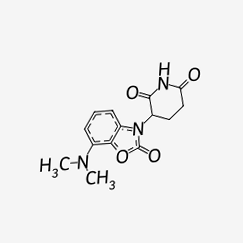 CN(C)c1cccc2c1oc(=O)n2C1CCC(=O)NC1=O